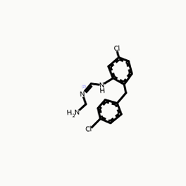 NC/N=C\Nc1cc(Cl)ccc1Cc1ccc(Cl)cc1